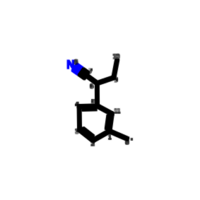 [CH2]c1cccc(C(C#N)CC)c1